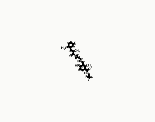 CC1=C(C(=O)NCC(F)(F)F)C=CC(=N)/C1=C\NCC1CN(C(=O)/C(C)=C/c2cc(F)ccc2C)C1